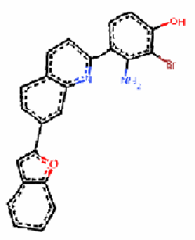 Nc1c(-c2ccc3ccc(-c4cc5ccccc5o4)cc3n2)ccc(O)c1Br